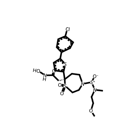 COCCN(C)[S+]([O-])N1CC[C@](CC(=O)NO)(c2ccc(-c3ccc(Cl)cc3)s2)S(=O)(=O)CC1